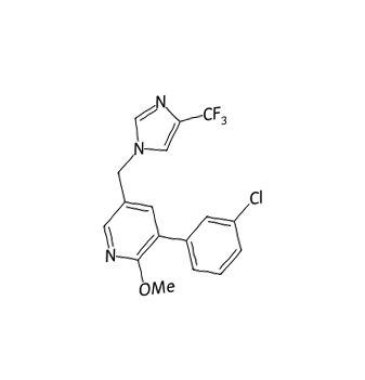 COc1ncc(Cn2cnc(C(F)(F)F)c2)cc1-c1cccc(Cl)c1